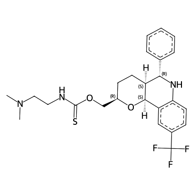 CN(C)CCNC(=S)OC[C@H]1CC[C@@H]2[C@H](O1)c1cc(C(F)(F)F)ccc1N[C@H]2c1ccccc1